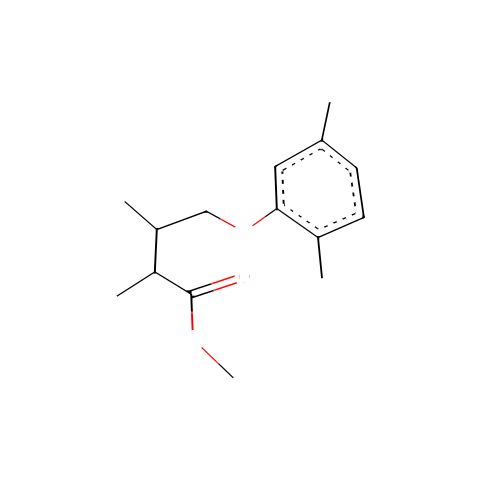 COC(=O)C(C)C(C)COc1cc(C)ccc1C